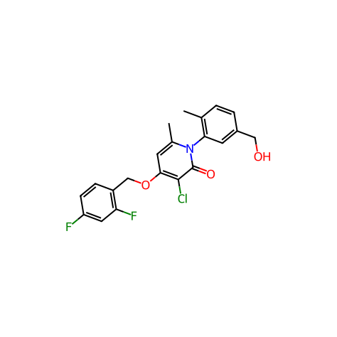 Cc1ccc(CO)cc1-n1c(C)cc(OCc2ccc(F)cc2F)c(Cl)c1=O